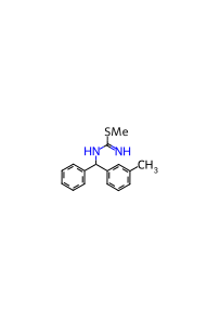 CSC(=N)NC(c1ccccc1)c1cccc(C)c1